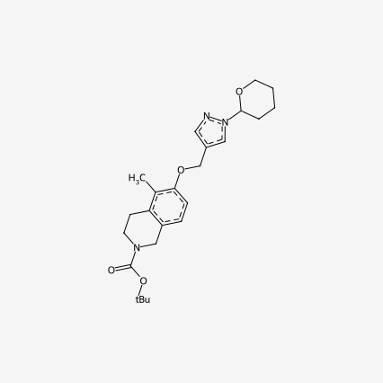 Cc1c(OCc2cnn(C3CCCCO3)c2)ccc2c1CCN(C(=O)OC(C)(C)C)C2